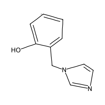 Oc1c[c]ccc1Cn1ccnc1